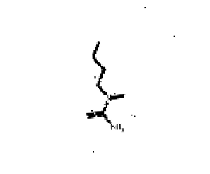 C=C(N)N(C)CCCC